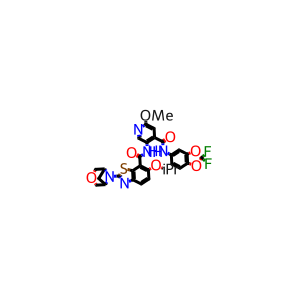 COc1cc(C(=O)Nc2ccc3c(c2)OC(F)(F)O3)c(NC(=O)c2c(OC(C)C)ccc3nc(N4C5COCC4C5)sc23)cn1